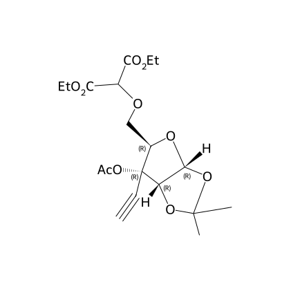 C#C[C@@]1(OC(C)=O)[C@@H](COC(C(=O)OCC)C(=O)OCC)O[C@@H]2OC(C)(C)O[C@@H]21